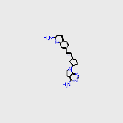 Nc1ccc2ccc(/C=C/C3CCC(N4CCc5c(N)ncnc54)C3)cc2n1